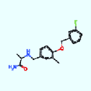 Cc1cc(CNC(C)C(N)=O)ccc1OCc1cccc(F)c1